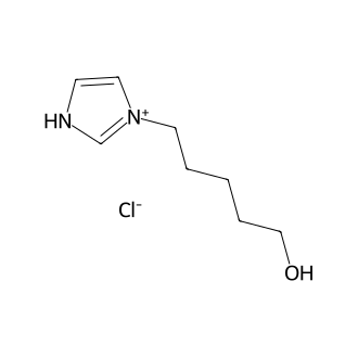 OCCCCC[n+]1cc[nH]c1.[Cl-]